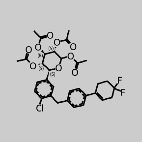 CC(=O)OC1O[C@@H](c2ccc(Cl)c(Cc3ccc(C4=CCC(F)(F)CC4)cc3)c2)[C@H](OC(C)=O)[C@@H](OC(C)=O)[C@@H]1OC(C)=O